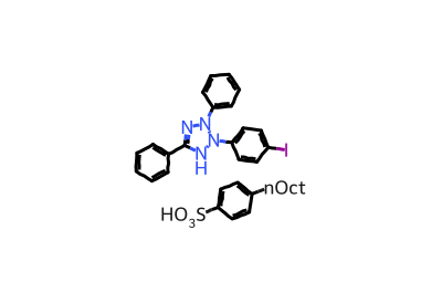 CCCCCCCCc1ccc(S(=O)(=O)O)cc1.Ic1ccc(N2NC(c3ccccc3)=NN2c2ccccc2)cc1